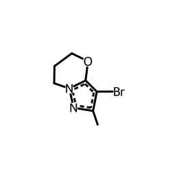 Cc1nn2c(c1Br)OCCC2